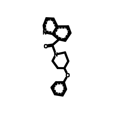 O=C(c1cccc2cccnc12)N1CCC(Oc2ccccc2)CC1